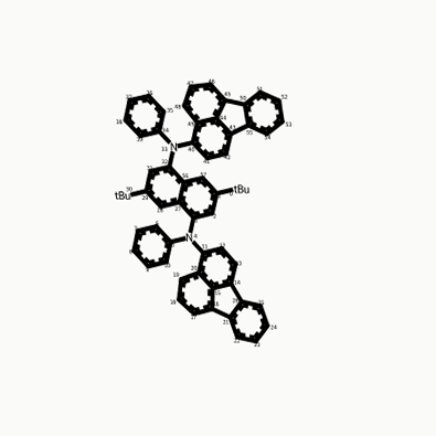 CC(C)(C)c1cc(N(c2ccccc2)c2ccc3c4c(cccc24)-c2ccccc2-3)c2cc(C(C)(C)C)cc(N(c3ccccc3)c3ccc4c5c(cccc35)-c3ccccc3-4)c2c1